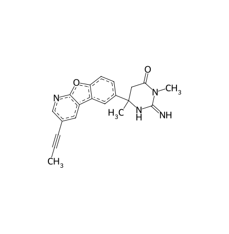 CC#Cc1cnc2oc3ccc(C4(C)CC(=O)N(C)C(=N)N4)cc3c2c1